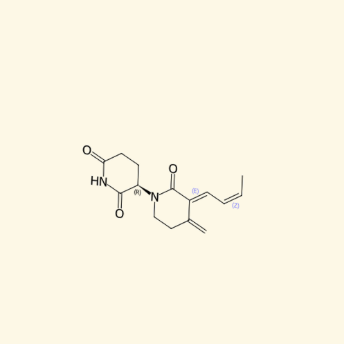 C=C1CCN([C@@H]2CCC(=O)NC2=O)C(=O)/C1=C/C=C\C